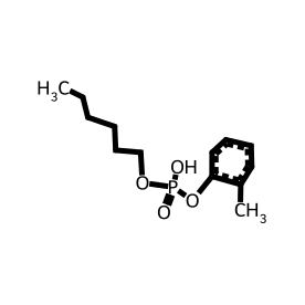 CCCCCCOP(=O)(O)Oc1ccccc1C